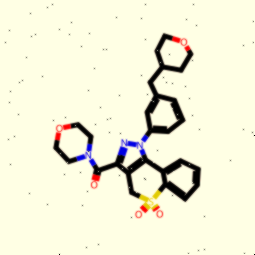 O=C(c1nn(-c2cccc(CC3CCOCC3)c2)c2c1CS(=O)(=O)c1ccccc1-2)N1CCOCC1